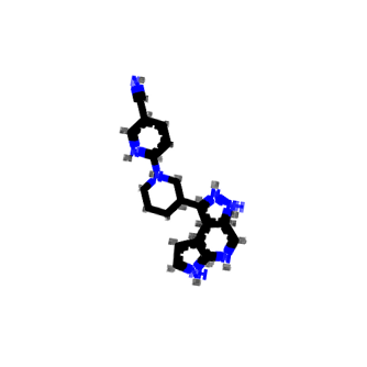 N#Cc1ccc(N2CCCC(c3n[nH]c4cnc5[nH]ccc5c34)C2)nc1